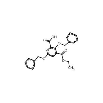 CCOC(=O)c1cc(OCc2ccccc2)cc(C(=O)O)c1OCc1ccccc1